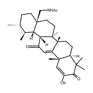 CC(=O)NC[C@]12CC[C@@H](C)[C@H](C)[C@H]1[C@H]1C(=O)C=C3[C@@]4(C)C=C(C#N)C(=O)C(C)(C)[C@@H]4CC[C@@]3(C)[C@]1(C)CC2